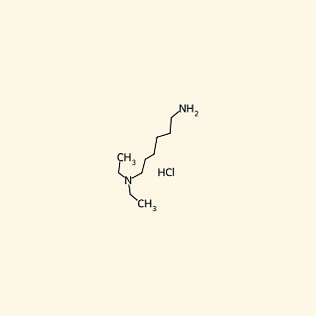 CCN(CC)CCCCCCN.Cl